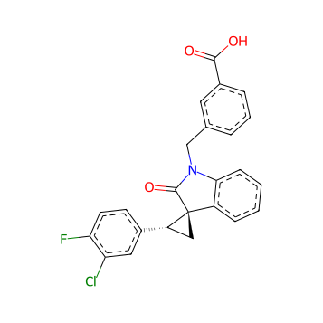 O=C(O)c1cccc(CN2C(=O)[C@]3(C[C@@H]3c3ccc(F)c(Cl)c3)c3ccccc32)c1